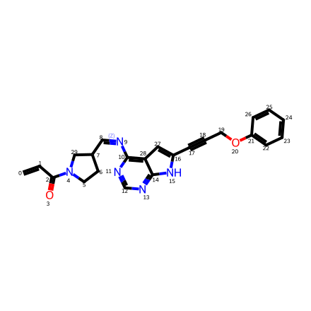 C=CC(=O)N1CCC(/C=N\c2ncnc3[nH]c(C#CCOc4ccccc4)cc23)C1